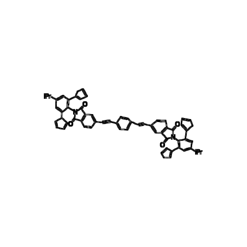 CC(C)c1cc(C2=CCC=C2)c(N2C(=O)c3ccc(C#Cc4ccc(C#Cc5ccc6c(c5)C(=O)N(c5c(C7=CC=CC7)cc(C(C)C)cc5C5C=CC=C5)C6=O)cc4)cc3C2=O)c(C2=CC=CC2)c1